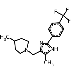 Cc1[nH]c(-c2ccc(C(F)(F)F)cc2)nc1CN1CCC(C)CC1